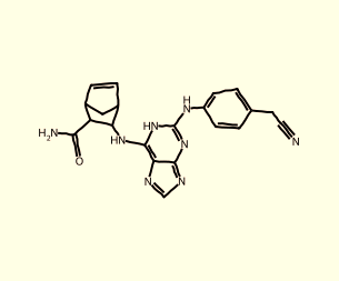 N#CCc1ccc(Nc2nc3ncnc-3c(NC3C4C=CC(C4)C3C(N)=O)[nH]2)cc1